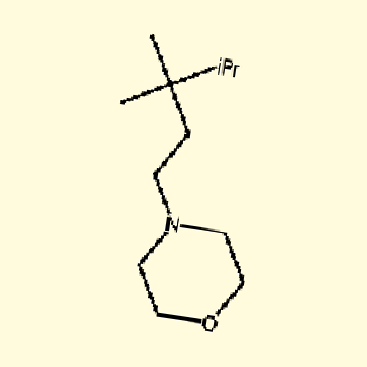 CC(C)C(C)(C)CCN1CCOCC1